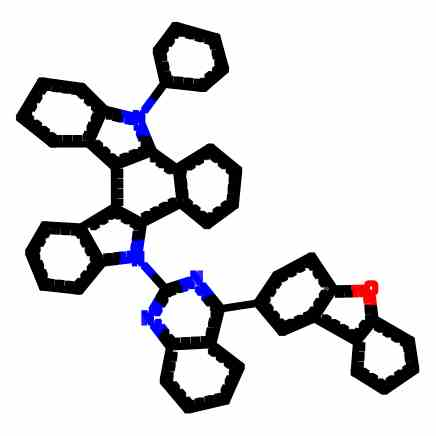 c1ccc(-n2c3ccccc3c3c4c5ccccc5n(-c5nc(-c6ccc7oc8ccccc8c7c6)c6ccccc6n5)c4c4ccccc4c32)cc1